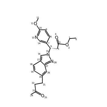 CCOC(=O)C[C@@H](c1ccc(OC)nc1)n1cc2ccc(CCC(C)=O)cc2n1